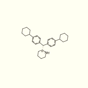 c1cc(C(c2ccc(C3CCCCC3)cc2)[C@H]2CCCCN2)ccc1C1CCCCC1